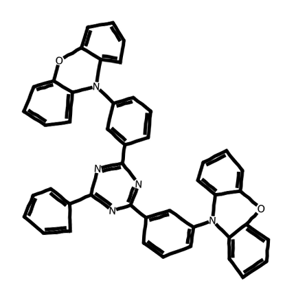 c1ccc(-c2nc(-c3cccc(N4c5ccccc5Oc5ccccc54)c3)nc(-c3cccc(N4c5ccccc5Oc5ccccc54)c3)n2)cc1